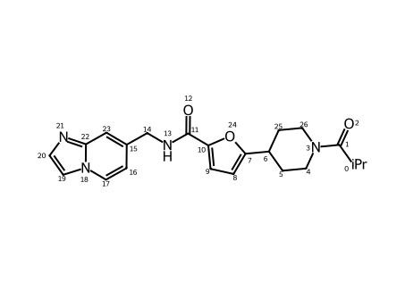 CC(C)C(=O)N1CCC(c2ccc(C(=O)NCc3ccn4ccnc4c3)o2)CC1